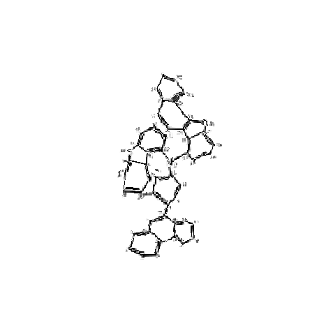 c1ccc2c(c1)cc(-c1ccc(N(c3cccc4oc5c6ccccc6ccc5c34)c3cccc4sc5ccccc5c34)cc1)c1ccccc12